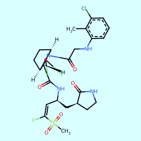 Cc1c(Cl)cccc1NCC(=O)N1[C@@H]2CC[C@H]([C@H]1C(=O)N[C@H](/C=C(/F)S(C)(=O)=O)C[C@@H]1CCNC1=O)C(F)(F)C2